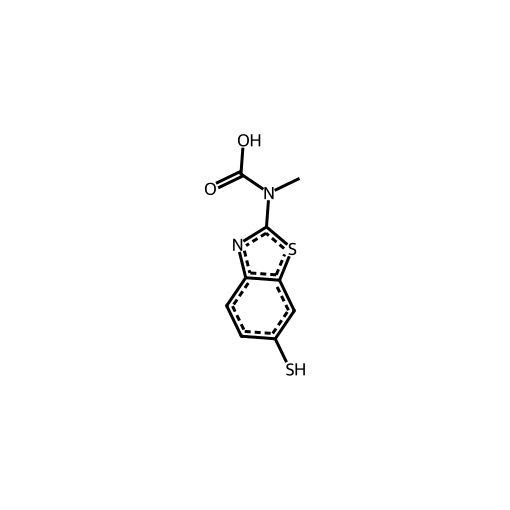 CN(C(=O)O)c1nc2ccc(S)cc2s1